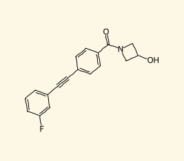 O=C(c1ccc(C#Cc2cccc(F)c2)cc1)N1CC(O)C1